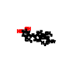 C=C1C[C@@H](O)[C@H](O)CC1=CC=C1CCC[C@@]2(C)C1CC[C@@H]2[C@H](C)/C=C/[C@H](C)C(C)C